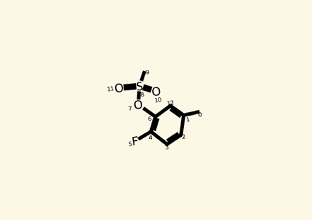 Cc1ccc(F)c(OS(C)(=O)=O)c1